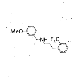 COc1cccc([C@@H](C)NCCCc2ccccc2C(F)(F)F)c1